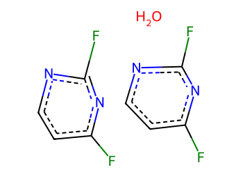 Fc1ccnc(F)n1.Fc1ccnc(F)n1.O